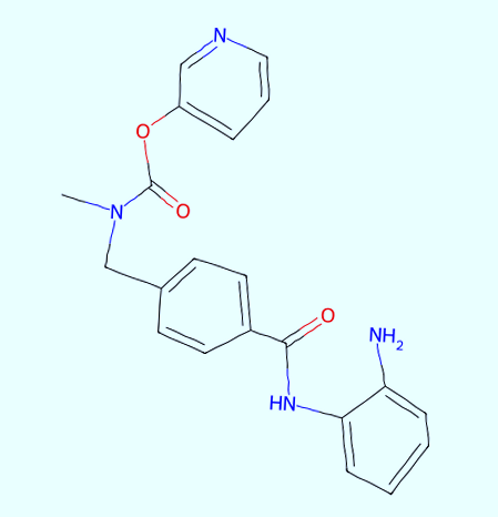 CN(Cc1ccc(C(=O)Nc2ccccc2N)cc1)C(=O)Oc1cccnc1